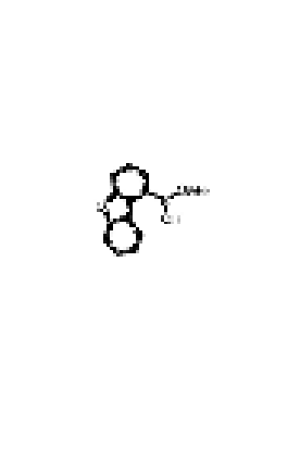 COB(O)c1cccc2oc3ccccc3c12